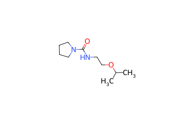 CC(C)OCCNC(=O)N1CCCC1